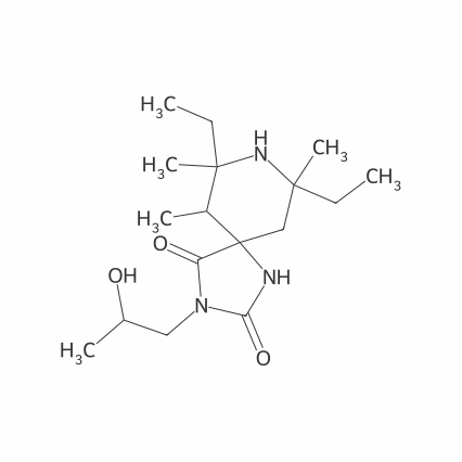 CCC1(C)CC2(NC(=O)N(CC(C)O)C2=O)C(C)C(C)(CC)N1